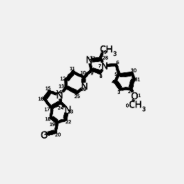 COc1ccc(Cn2cc(-c3ccc(-n4ccc5cc(C=O)cnc54)cn3)nc2C)cc1